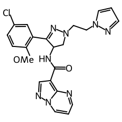 COc1ccc(Cl)cc1C1=NN(CCn2cccn2)CC1NC(=O)c1cnn2cccnc12